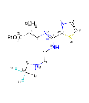 C=C(C/N=C(\NCCN1CC(F)(F)C1)c1nccs1)C(=O)OCC